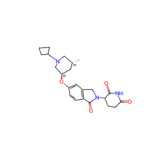 C[C@@H]1C[C@@H](Oc2ccc3c(c2)CN(C2CCC(=O)NC2=O)C3=O)CN(C2CCC2)C1